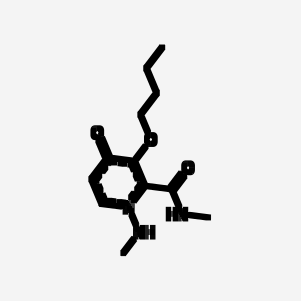 CCCCOc1c(C(=O)NC)n(NC)ccc1=O